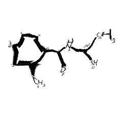 Cc1ccccc1C(=O)NC(C)S